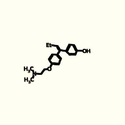 CCC=C(c1ccc(O)cc1)c1ccc(OCCN(C)C)cc1